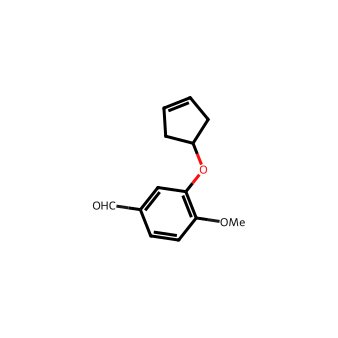 COc1ccc(C=O)cc1OC1CC=CC1